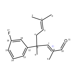 CC(C)=CCC(C)(/C=C(\C)C=O)c1cccc(F)c1